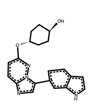 O[C@H]1CC[C@H](Oc2ccc3ncc(-c4ccc5cc[nH]c5c4)n3n2)CC1